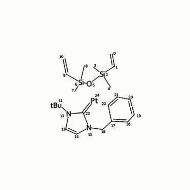 C=C[Si](C)(C)O[Si](C)(C)C=C.CC(C)(C)n1ccn(Cc2ccccc2)[c]1=[Pt]